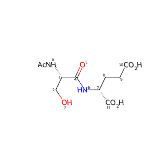 CC(=O)N[C@@H](CO)C(=O)N[C@H](CCC(=O)O)C(=O)O